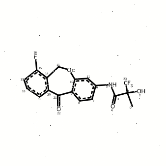 CC(O)(C(=O)Nc1ccc2c(c1)OCc1c(F)cccc1C2=O)C(F)(F)F